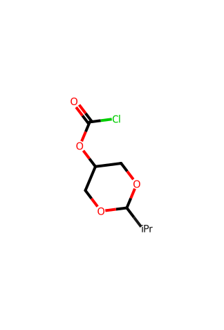 CC(C)C1OCC(OC(=O)Cl)CO1